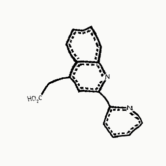 O=C(O)Cc1cc(-c2ccccn2)nc2ccccc12